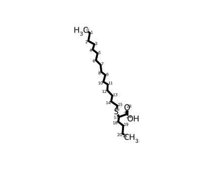 CCCCCCCCCCCCCCCCSC(CCCC)C(=O)O